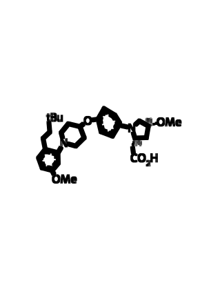 COc1ccc(CCC(C)(C)C)c(N2CCC(Oc3ccc(N4C[C@H](OC)C[C@@H]4CC(=O)O)cc3)CC2)c1